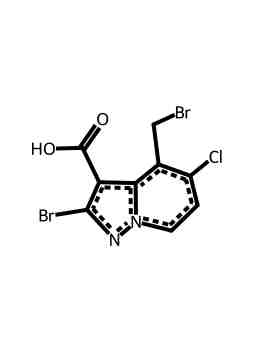 O=C(O)c1c(Br)nn2ccc(Cl)c(CBr)c12